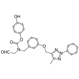 Cc1nn(-c2ccccc2)nc1COc1cccc(CN(CC=O)C(=O)Oc2ccc(O)cc2)c1